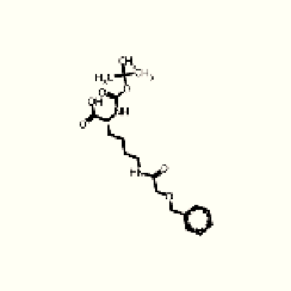 CC(C)(C)OC(=O)N[C@@H](CCCCNC(=O)COCc1ccccc1)C(=O)O